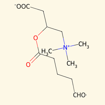 C[N+](C)(C)CC(CC(=O)[O-])OC(=O)CCC[C]=O